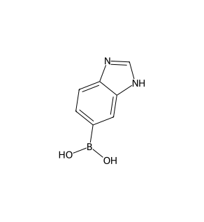 OB(O)c1ccc2nc[nH]c2c1